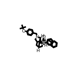 CC(C)(C)Oc1ccc(CN2CC3C[C@H]4CN[C@]3(C(=O)NCc3ccccc3)[C@@H]2[C@@H]4Cc2ccccc2)cc1